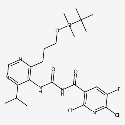 CC(C)c1ncnc(CCCO[Si](C)(C)C(C)(C)C)c1NC(=O)NC(=O)c1cc(F)c(Cl)nc1Cl